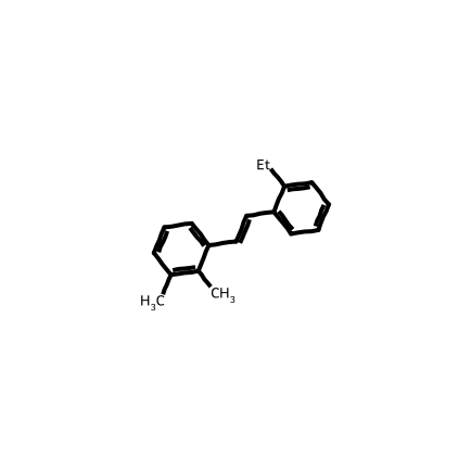 CCc1ccccc1C=Cc1cccc(C)c1C